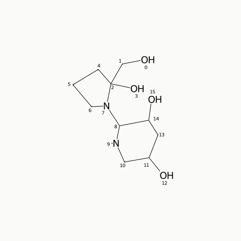 OCC1(O)CCCN1C1[N]CC(O)CC1O